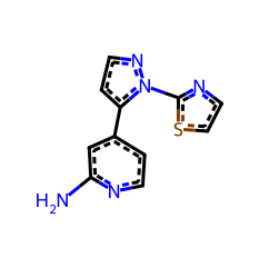 Nc1cc(-c2ccnn2-c2nccs2)ccn1